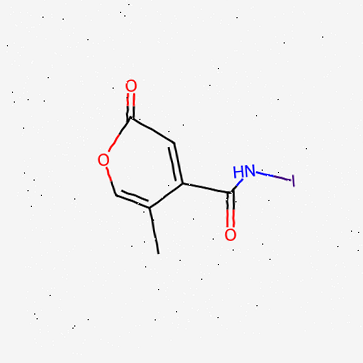 Cc1coc(=O)cc1C(=O)NI